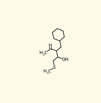 CNC(CC1CCCCC1)C(O)CSC